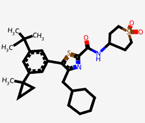 CC(C)(C)c1cc(-c2sc(C(=O)NC3CCS(=O)(=O)CC3)nc2CC2CCCCC2)cc(C2(C)CC2)c1